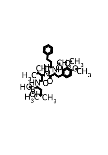 COc1ccc(CC(NC(=O)CCc2ccccc2)C(=O)NC(C(=O)NC(CC(C)C)B(O)O)C(C)C)c(OC)c1OC